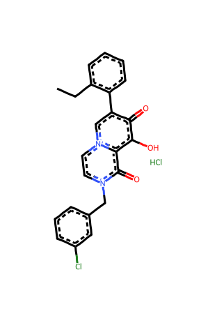 CCc1ccccc1-c1cn2ccn(Cc3cccc(Cl)c3)c(=O)c2c(O)c1=O.Cl